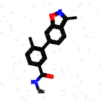 CCC(C)NC(=O)c1ccc(C)c(-c2ccc3c(C)noc3c2)c1